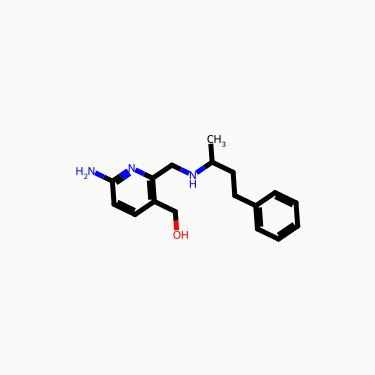 CC(CCc1ccccc1)NCc1nc(N)ccc1CO